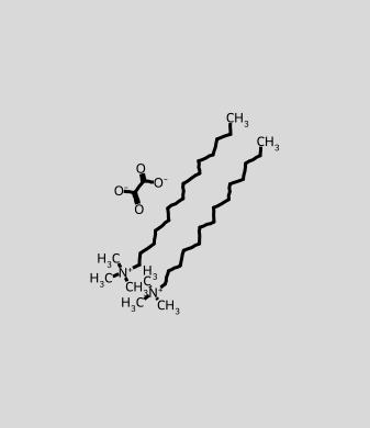 CCCCCCCCCCCCCC[N+](C)(C)C.CCCCCCCCCCCCCC[N+](C)(C)C.O=C([O-])C(=O)[O-]